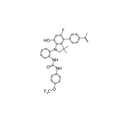 C=C(C)c1ccc(-c2c(F)cc(O)c3c2C(C)(C)CN3c2ccccc2NC(=O)Nc2ccc(OC(F)(F)F)cc2)cc1